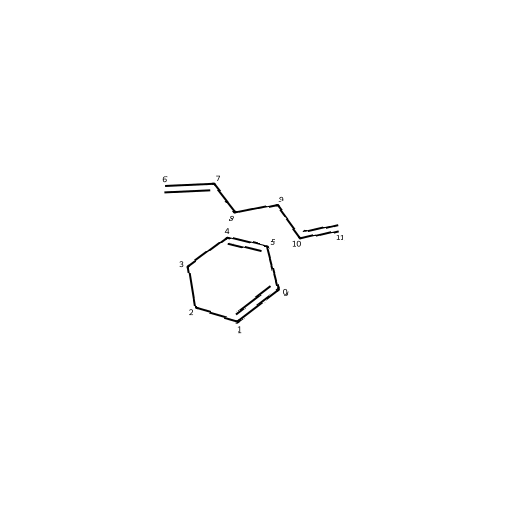 C1=CCCC=C1.C=CCCC=C